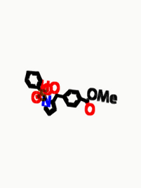 COC(=O)c1ccc(C(O)c2cccn2S(=O)(=O)c2ccccc2)cc1